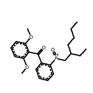 CCCCC(CC)C[PH](=O)c1ccccc1C(=O)c1c(OC)cccc1OC